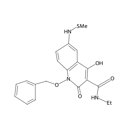 CCNC(=O)c1c(O)c2cc(NSC)ccc2n(OCc2ccccc2)c1=O